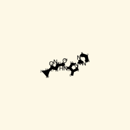 CC1CN(c2ncccn2)CC1NC(=O)c1cc(C2CC2)on1